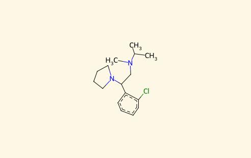 CC(C)N(C)CC(c1ccccc1Cl)N1CCCC1